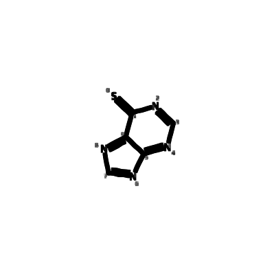 S=C1N=CN=C2N=CN=C12